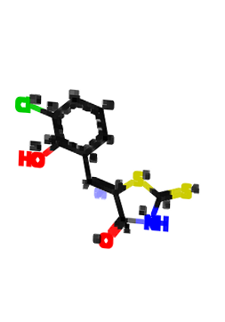 O=C1NC(=S)S/C1=C\c1cccc(Cl)c1O